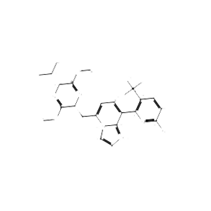 COC1=N[C@H](C(C)C)C(OC)=N[C@H]1Cc1ccc(-c2nc(N)ccc2C(F)(F)F)c2nccn12